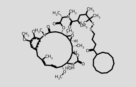 COc1cc2cc(c1Cl)N(C)C(=O)C[C@H](OC(=O)[C@H](C)N(C)C(=O)C(C)CC(C)C(C)(C)SSCCCC(=O)C1CCCCCCCCCC1)[C@@]1(C)O[C@H]1[C@H](C)[C@@H]1C[C@@](O)(NC(=O)O1)[C@H](OC)/C=C/C=C(\C)C2